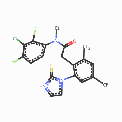 CCN(C(=O)Cc1c(-n2cc[nH]c2=S)cc(C(F)(F)F)cc1C(F)(F)F)c1ccc(F)c(Cl)c1F